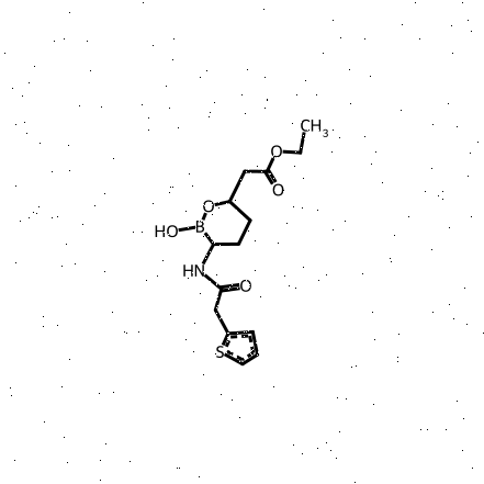 CCOC(=O)CC1CCC(NC(=O)Cc2cccs2)B(O)O1